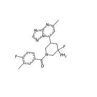 Cc1cc(C2CN(C(=O)c3ccc(F)c(C)c3)CC(F)(P)C2)n2ncnc2n1